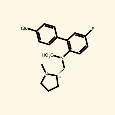 CN1CCC[C@H]1CN(C(=O)O)c1ccc(F)cc1-c1ccc(C(C)(C)C)cc1